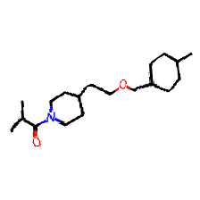 CC1CCC(COCCC2CCN(C(=O)C(C)C)CC2)CC1